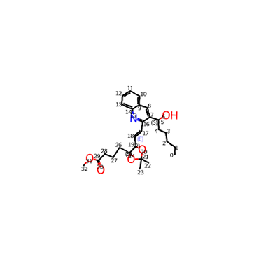 CCCCC[C@H](O)c1cc2ccccc2nc1/C=C/[C@H]1OC(C)(C)O[C@H]1CCCC(=O)OC